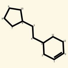 C1=CC[C](CCC2CCCC2)CC1